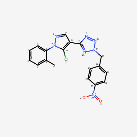 Cc1ccccc1-n1ncc(-c2nnn(Cc3ccc([N+](=O)[O-])cc3)n2)c1Cl